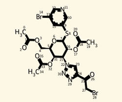 CC(=O)OC[C@H]1OC(Sc2cncc(Br)c2)[C@H](OC(C)=O)[C@@H](n2cc(C(=O)CBr)nn2)[C@H]1OC(C)=O